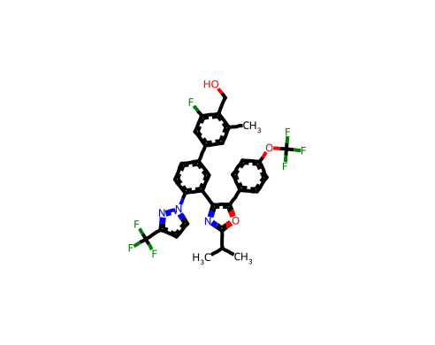 Cc1cc(-c2ccc(-n3ccc(C(F)(F)F)n3)c(-c3nc(C(C)C)oc3-c3ccc(OC(F)(F)F)cc3)c2)cc(F)c1CO